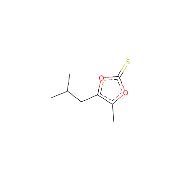 Cc1oc(=S)oc1CC(C)C